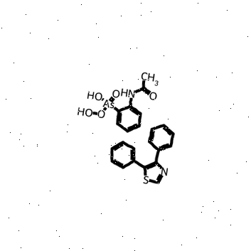 CC(=O)Nc1ccccc1[As](=O)(O)OO.c1ccc(-c2ncsc2-c2ccccc2)cc1